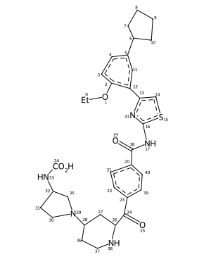 CCOc1ccc(C2CCCC2)cc1-c1csc(NC(=O)c2ccc(C(=O)C3CC(N4CCC(NC(=O)O)C4)CCN3)cc2)n1